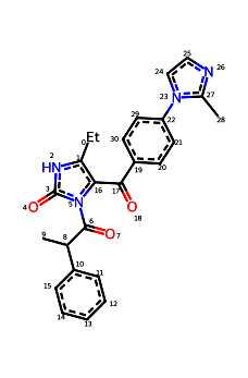 CCc1[nH]c(=O)n(C(=O)C(C)c2ccccc2)c1C(=O)c1ccc(-n2ccnc2C)cc1